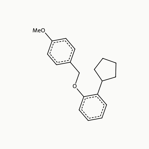 COc1ccc(COc2ccccc2C2CCCC2)cc1